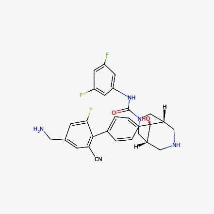 N#Cc1cc(CN)cc(F)c1-c1ccc([C@@]2(O)[C@@H]3CNC[C@H]2CN(C(=O)Nc2cc(F)cc(F)c2)C3)cc1